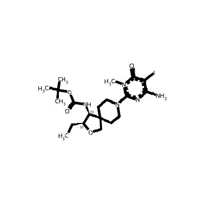 CC[C@@H]1OCC2(CCN(c3nc(N)c(I)c(=O)n3C)CC2)[C@@H]1NC(=O)OC(C)(C)C